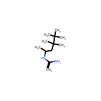 C=C(N)NC(C)CC(C)(C)C(C)(C)C